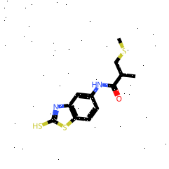 CSCC(C)C(=O)Nc1ccc2sc(S)nc2c1